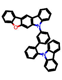 c1cc(-c2ccccc2-n2c3ccccc3c3ccccc32)cc(-n2c3ccccc3c3cc4c(cc32)oc2ccccc24)c1